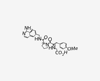 COc1ccc(C[C@@H](NCC(=O)O)C(=O)N2CCC[C@H]2C(=O)NCc2ccc3c(N)nccc3c2)cc1